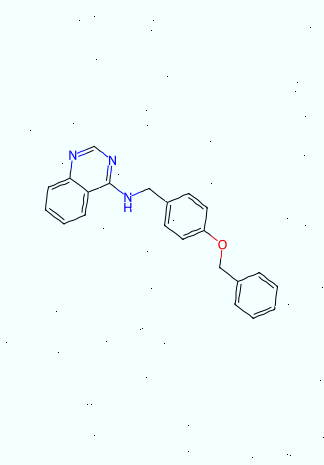 c1ccc(COc2ccc(CNc3ncnc4ccccc34)cc2)cc1